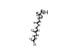 CNC(=S)OC/C=C(\C)CC/C=C(\C)CCC=C(C)C